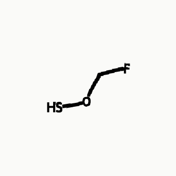 FCOS